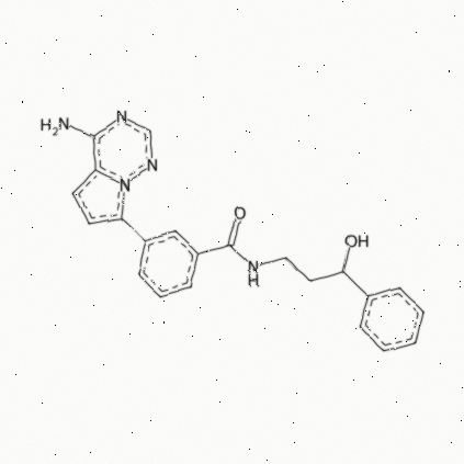 Nc1ncnn2c(-c3cccc(C(=O)NCCC(O)c4ccccc4)c3)ccc12